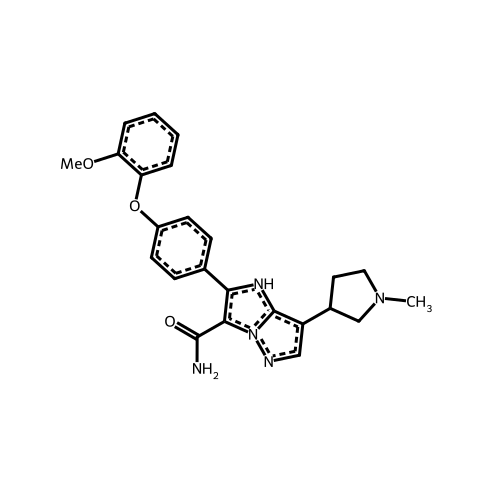 COc1ccccc1Oc1ccc(-c2[nH]c3c(C4CCN(C)C4)cnn3c2C(N)=O)cc1